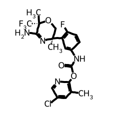 Cc1cc(Cl)cnc1OC(=O)Nc1ccc(F)c([C@]2(C)CO[C@@](C)(C(F)(F)F)C(N)=N2)c1